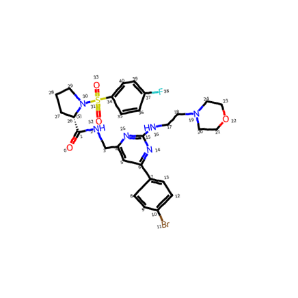 O=C(NCc1cc(-c2ccc(Br)cc2)nc(NCCN2CCOCC2)n1)[C@@H]1CCCN1S(=O)(=O)c1ccc(F)cc1